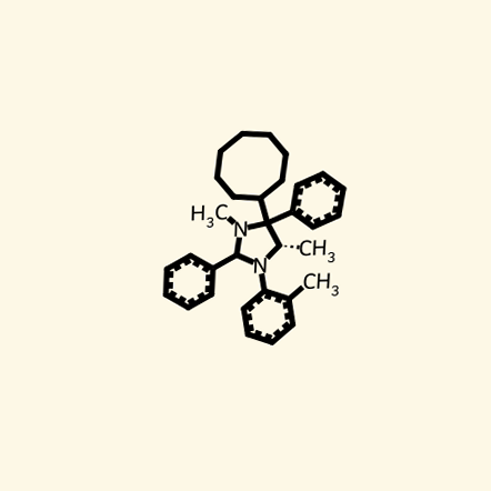 Cc1ccccc1N1C(c2ccccc2)N(C)C(c2ccccc2)(C2CCCCCCC2)[C@@H]1C